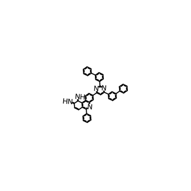 N=C1C=Cc2c(-c3ccccc3)nc3cc(-c4cc(-c5cccc(-c6ccccc6)c5)nc(-c5cccc(-c6ccccc6)c5)n4)ccc3c2C1=N